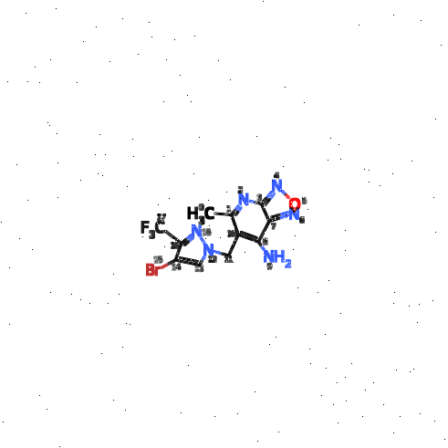 Cc1nc2nonc2c(N)c1Cn1cc(Br)c(C(F)(F)F)n1